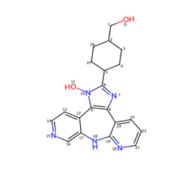 OCC1CCC(c2nc3c(n2O)-c2ccncc2Nc2ncccc2-3)CC1